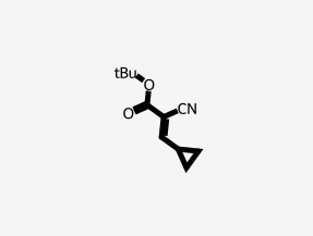 CC(C)(C)OC(=O)/C(C#N)=C/C1CC1